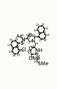 CC[C@H](C)[C@@H](CN(CC(=O)N[C@@H](CCSC)C(=O)OC)Cc1cccc2ccccc12)N(Sc1cccc2cccc(Cl)c12)C(C)=O